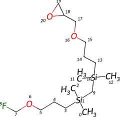 C[Si](C)(CCCOCF)C[Si](C)(C)CCCOCC1CO1